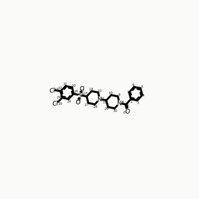 O=C(c1ccccc1)N1CCC(N2CCC(S(=O)(=O)c3ccc(Cl)c(Cl)c3)CC2)CC1